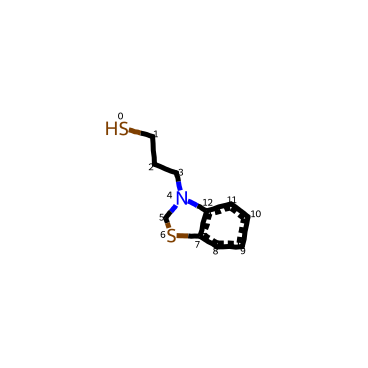 SCCCN1CSc2ccccc21